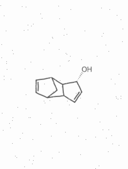 O[C@@H]1C=CC2C3C=CC(C3)C21